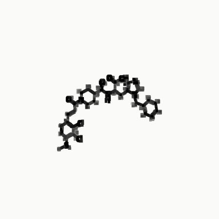 CSc1ccc(C=CC(=O)N2CCC(C(=O)NC(Cc3cncn3Cc3ccccc3)C(=O)O)CC2)c(Cl)c1Cl